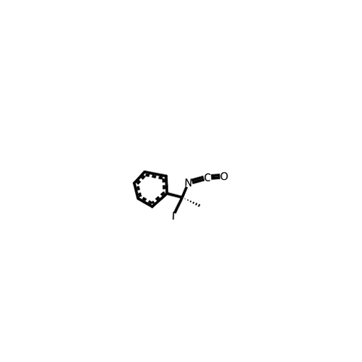 C[C@@](I)(N=C=O)c1ccccc1